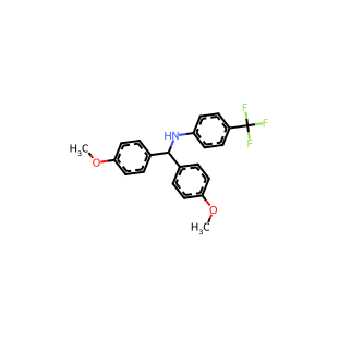 COc1ccc(C(Nc2ccc(C(F)(F)F)cc2)c2ccc(OC)cc2)cc1